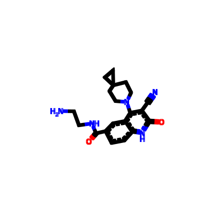 N#Cc1c(N2CCC3(CC2)CC3)c2cc(C(=O)NCCN)ccc2[nH]c1=O